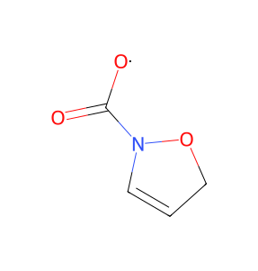 [O]C(=O)N1C=CCO1